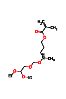 C=C(C)C(=O)OCCC[SiH](C)OCOCC(OCC)OCC